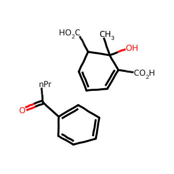 CC1(O)C(C(=O)O)=CC=CC1C(=O)O.CCCC(=O)c1ccccc1